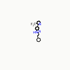 FC(F)(F)c1cccnc1-c1ccc2[nH]c(/C=C/C3CCCCC3)nc2c1